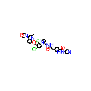 Cc1cc(N2CCOCC2)c2cccc(OCc3c(Cl)ccc(-n4cccc4CNC(=O)/C=C/c4ccc(C(=O)Nc5ccncc5)cc4)c3Cl)c2n1